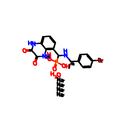 C[C@H](NC(c1cccc2[nH]c(=O)c(=O)[nH]c12)P(=O)(O)O)c1ccc(Br)cc1.O.[Na].[Na].[Na].[Na]